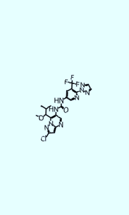 COC(c1c(NC(=O)Nc2cnc(-n3nccn3)c(C(F)(F)F)c2)cnc2cc(Cl)nn12)C(C)C